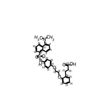 CN(C)c1cccc2c(S(=O)(=O)Nc3ccc(OCCOc4ccccc4CCC(=O)O)cc3)cccc12